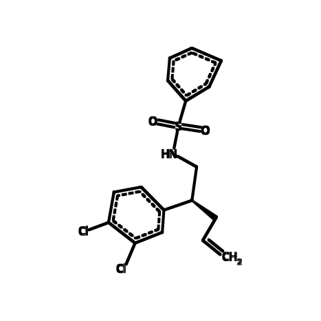 C=CC[C@H](CNS(=O)(=O)c1ccccc1)c1ccc(Cl)c(Cl)c1